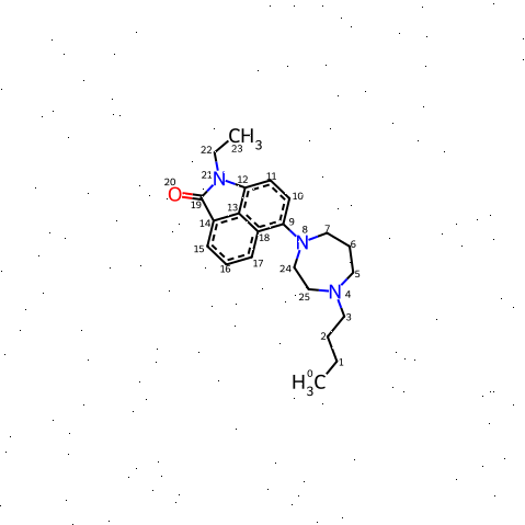 CCCCN1CCCN(c2ccc3c4c(cccc24)C(=O)N3CC)CC1